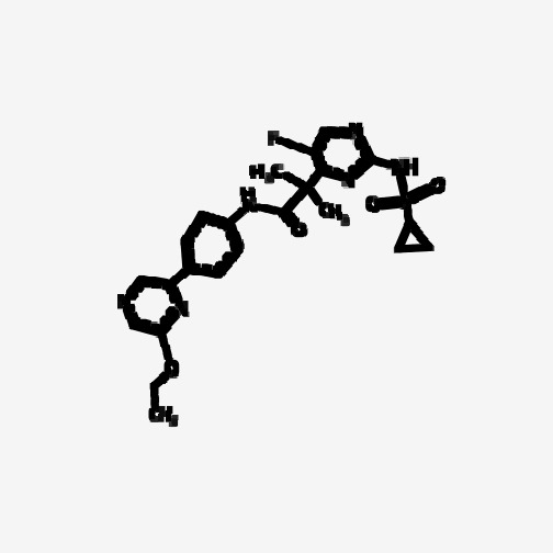 CCOc1cncc(-c2ccc(NC(=O)C(C)(C)c3nc(NS(=O)(=O)C4CC4)ncc3F)cc2)n1